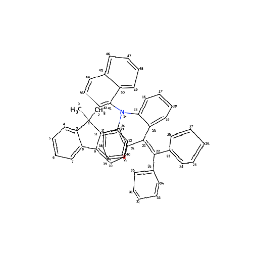 CC1(C)c2ccccc2-c2cccc(N(c3ccccc3C(=C(c3ccccc3)c3ccccc3)c3ccccc3)c3cccc4ccccc34)c21